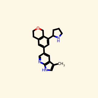 Cc1c[nH]c2ncc(-c3cc4c(c(C5CCCN5)c3)COCC4)cc12